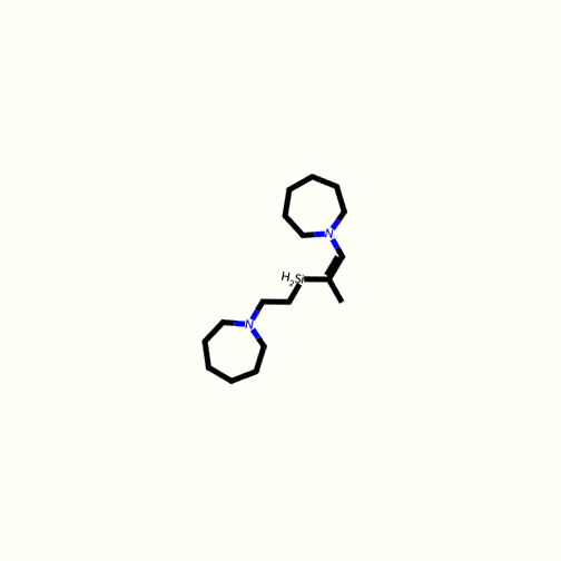 CC(=CN1CCCCCC1)[SiH2]CCN1CCCCCC1